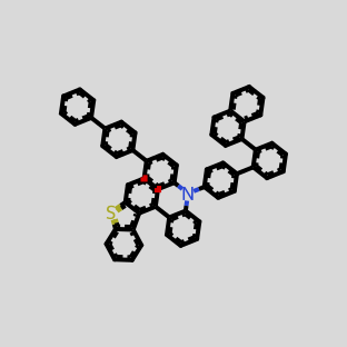 c1ccc(-c2ccc(-c3ccc(N(c4ccc(-c5ccccc5-c5cccc6ccccc56)cc4)c4ccccc4-c4cccc5sc6ccccc6c45)cc3)cc2)cc1